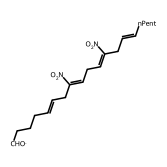 CCCCC/C=C/C/C(=C/C/C=C(/C/C=C/CCC[C]=O)[N+](=O)[O-])[N+](=O)[O-]